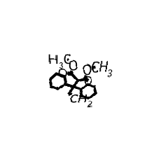 C=CC(C1CCCCC1)(C1CCCCC1)C(C(=O)OC)C(=O)OC